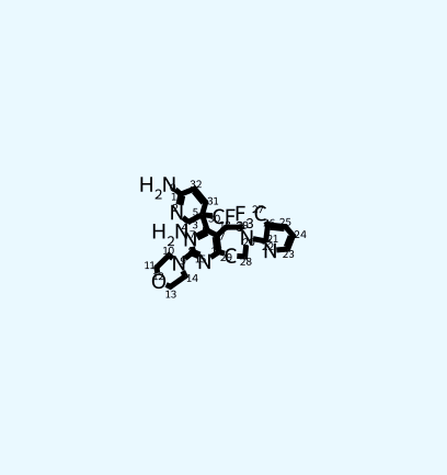 NC1=NC(N)C(c2nc(N3CCOCC3)nc3c2CCN(c2ncccc2C(F)(F)F)CC3)(C(F)(F)F)C=C1